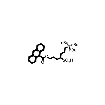 CCCC[N+](CCCC)(CCCC)CCCC(CCCOC(=O)c1c2ccccc2cc2ccccc12)S(=O)(=O)O